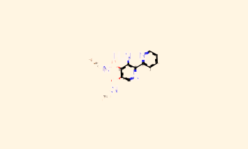 Nc1c(-c2ccccn2)ncc(ON=C=S)c1ON=C=S